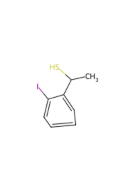 CC(S)c1ccccc1I